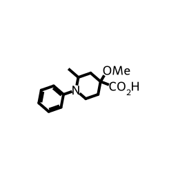 COC1(C(=O)O)CCN(c2ccccc2)C(C)C1